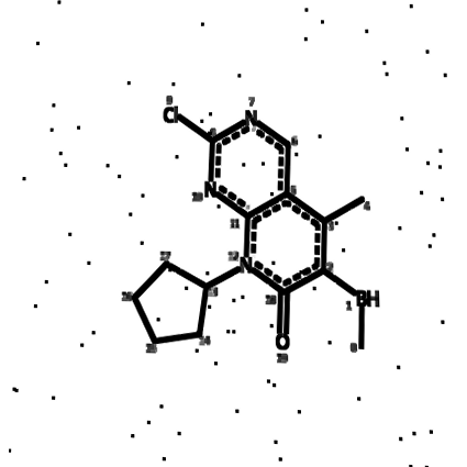 CBc1c(C)c2cnc(Cl)nc2n(C2CCCC2)c1=O